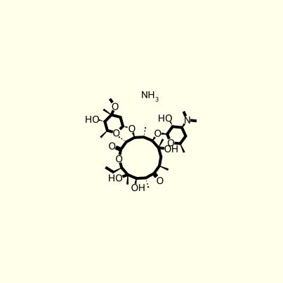 CC[C@H]1OC(=O)[C@H](C)[C@@H](O[C@H]2C[C@@](C)(OC)[C@@H](O)[C@H](C)O2)[C@H](C)[C@@H](O[C@@H]2O[C@H](C)C[C@H](N(C)C)[C@H]2O)[C@](C)(O)C[C@@H](C)C(=O)[C@H](C)[C@@H](O)[C@]1(C)O.N